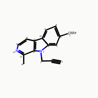 C#CCn1c2cc(OC)ccc2c2ccnc(C)c21